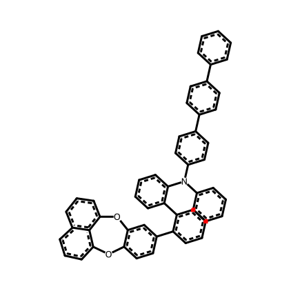 c1ccc(-c2ccc(-c3ccc(N(c4ccccc4)c4ccccc4-c4ccccc4-c4ccc5c(c4)Oc4cccc6cccc(c46)O5)cc3)cc2)cc1